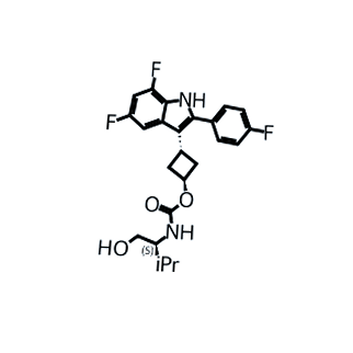 CC(C)[C@@H](CO)NC(=O)O[C@H]1C[C@H](c2c(-c3ccc(F)cc3)[nH]c3c(F)cc(F)cc32)C1